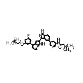 CN(C)CCOc1cc(F)cc(-c2cccc3[nH]c(-c4n[nH]c5ccc(-c6cncc(NC(=O)CN(C)C)c6)cc45)cc23)c1